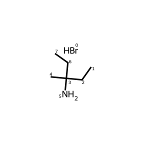 Br.CCC(C)(N)CC